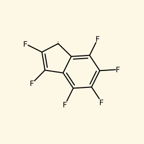 FC1=C(F)c2c(F)c(F)c(F)c(F)c2[CH]1